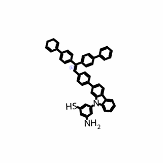 Nc1cc(S)cc(-n2c3ccccc3c3ccc(-c4ccc(/C=C(/c5ccc(C6=CCCC=C6)cc5)c5ccc(-c6ccccc6)cc5)cc4)cc32)c1